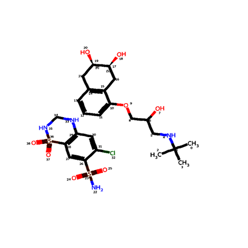 CC(C)(C)NCC(O)COc1cccc2c1C[C@H](O)[C@H](O)C2.NS(=O)(=O)c1cc2c(cc1Cl)NCNS2(=O)=O